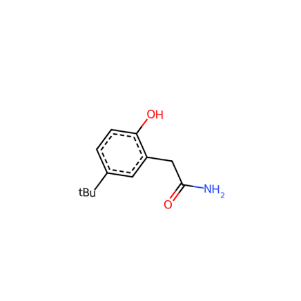 CC(C)(C)c1ccc(O)c(CC(N)=O)c1